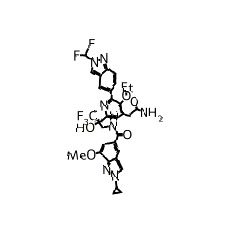 CCOc1c(CC(N)=O)cc([C@@](O)(CNC(=O)c2cc(OC)c3nn(C4CC4)cc3c2)C(F)(F)F)nc1-c1ccc2nn(C(F)F)cc2c1